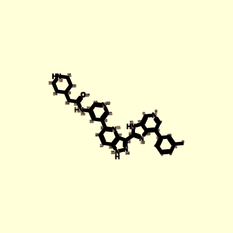 Cc1cccc(-c2cncc3[nH]c(-c4n[nH]c5ccc(-c6cncc(NC(=O)CC7CCNCC7)c6)nc45)nc23)c1